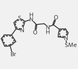 CSn1ccc(C(=O)NCC(=O)Nc2nc(-c3cccc(Br)c3)cs2)c1